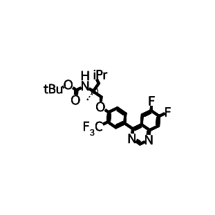 CC(C)C[C@@](C)(COc1ccc(-c2ncnc3cc(F)c(F)cc23)cc1C(F)(F)F)NC(=O)OC(C)(C)C